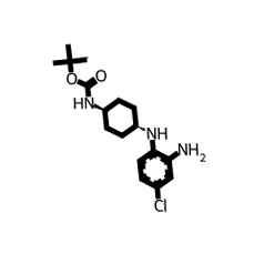 CC(C)(C)OC(=O)N[C@H]1CC[C@H](Nc2ccc(Cl)cc2N)CC1